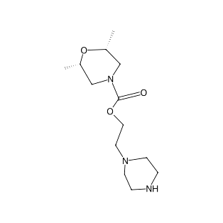 C[C@@H]1CN(C(=O)OCCN2CCNCC2)C[C@H](C)O1